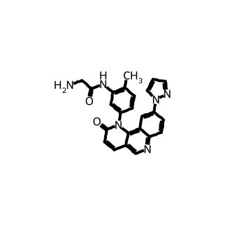 Cc1ccc(-n2c(=O)ccc3cnc4ccc(-n5cccn5)cc4c32)cc1NC(=O)CN